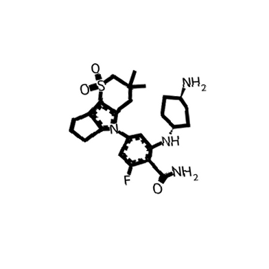 CC1(C)Cc2c(c3c(n2-c2cc(F)c(C(N)=O)c(N[C@H]4CC[C@H](N)CC4)c2)CCC3)S(=O)(=O)C1